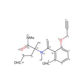 C#CCOc1cccc(C=O)c1C(=C)N(C)C(C)(CCC=O)C(=O)NC